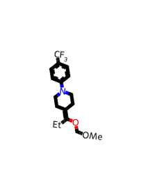 CCC(OCOC)=C1CCN(c2ccc(C(F)(F)F)cc2)CC1